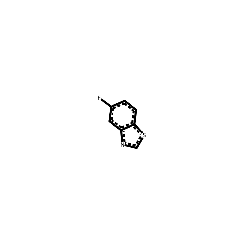 Fc1ccc2scnc2c1